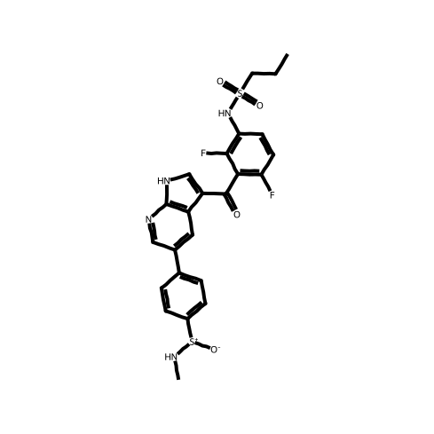 CCCS(=O)(=O)Nc1ccc(F)c(C(=O)c2c[nH]c3ncc(-c4ccc([S+]([O-])NC)cc4)cc23)c1F